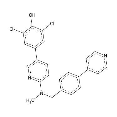 CN(Cc1ccc(-c2ccncc2)cc1)c1ccc(-c2cc(Cl)c(O)c(Cl)c2)nn1